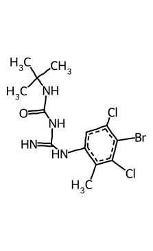 Cc1c(NC(=N)NC(=O)NC(C)(C)C)cc(Cl)c(Br)c1Cl